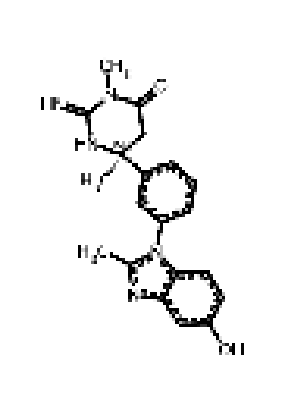 Cc1nc2cc(O)ccc2n1-c1cccc([C@]2(C)CC(=O)N(C)C(=N)N2)c1